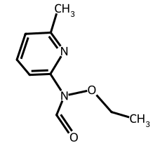 CCON(C=O)c1cccc(C)n1